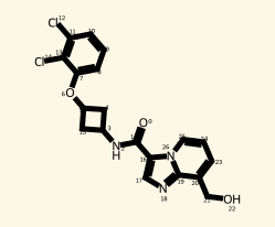 O=C(NC1CC(Oc2cccc(Cl)c2Cl)C1)c1cnc2c(CO)cccn12